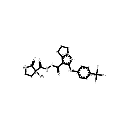 C[C@@]1(C(=O)NNC(=O)c2c(Nc3ccc(C(F)(F)F)cc3)nn3c2CCC3)CCNC1=O